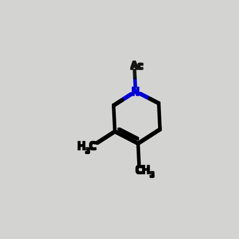 CC(=O)N1CCC(C)=C(C)C1